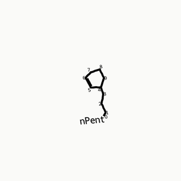 CCCCCCCCC1C=CCCC1